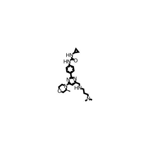 C[C@H]1COCCN1c1cc(CNCCCN(C)C)nc(-c2ccc(NC(=O)NC3CC3)cc2)n1